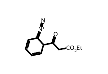 CCOC(=O)CC(=O)C1C=CC=CC1=[N+]=[N-]